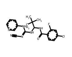 CC(C)(C)C(NC(=O)c1ccc(Cl)cc1F)N/C(=N/C#N)Nc1cccnc1